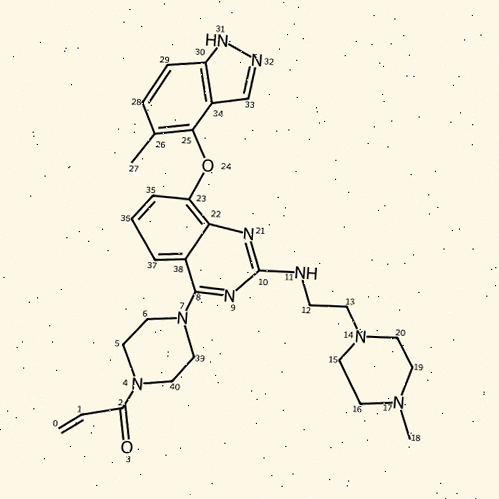 C=CC(=O)N1CCN(c2nc(NCCN3CCN(C)CC3)nc3c(Oc4c(C)ccc5[nH]ncc45)cccc23)CC1